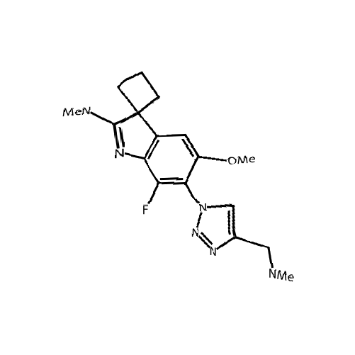 CNCc1cn(-c2c(OC)cc3c(c2F)N=C(NC)C32CCC2)nn1